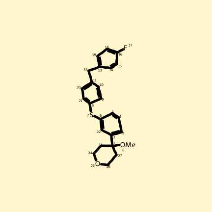 COC1(c2cccc(Sc3ccc(Cc4ccc(F)cc4)cc3)c2)CCOCC1